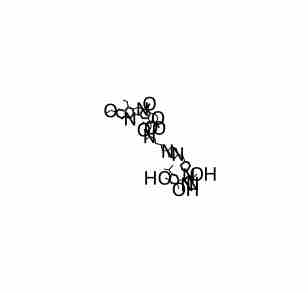 CCc1c2c(nc3ccc(OC)cc13)-c1cc3c(c(=O)n1C2)COC(=O)C3(CC)OC(=O)N(C)CCCCN1CCN(Cc2ccc(-n3c(O)nnc3-c3cc(C(C)C)c(O)cc3O)cc2)CC1